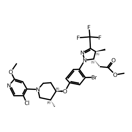 COC(=O)C[C@H]1[C@H](C)C(C(F)(F)F)=NN1c1ccc(O[C@@H]2CCN(c3cc(OC)ncc3Cl)C[C@H]2C)cc1Br